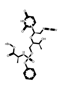 CCCCOC(=O)[C@H](C)NP(=O)(OC[C@@H](O[C@H](CN=[N+]=[N-])n1ccc(=O)[nH]c1=O)[C@H](C)O)Oc1ccccc1